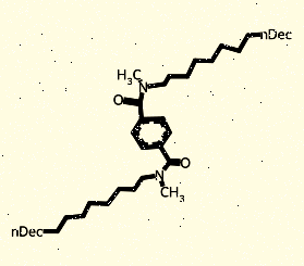 CCCCCCCCCCCCCCCCCCN(C)C(=O)c1ccc(C(=O)N(C)CCCCCCCCCCCCCCCCCC)cc1